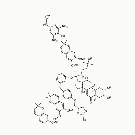 CC(C)(O)CC[C@@H](O)[C@](C)(O)[C@H]1CC[C@@]2(O)C3=CC(=O)[C@@H]4C[C@@H](O)[C@@H](O)C[C@]4(C)[C@H]3CC[C@]12C.CCC1OCC(COc2ccc(Oc3ccccc3)cc2)O1.CCOc1cc2c(cc1OC)C=CC(C)(C)O2.COc1cc2c(cc1OC)OC(C)(C)C=C2.COc1ccc2c(c1)OC(C)(C)C=C2.N#Cc1c(N)nc(NC2CC2)nc1N